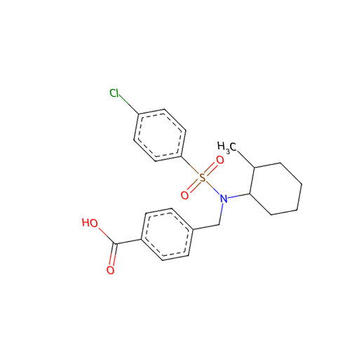 CC1CCCCC1N(Cc1ccc(C(=O)O)cc1)S(=O)(=O)c1ccc(Cl)cc1